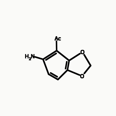 CC(=O)c1c(N)ccc2c1OCO2